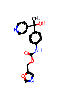 CC(O)(c1ccncc1)c1ccc(NC(=O)OCc2cnco2)cc1